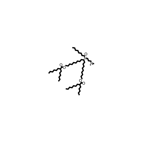 CCCCCCCC(=O)N(CCCN(C)C)C(CCCCCCCCCOC(=O)C(CCCCC)CCCCCCC)CCCCCCCCCOC(=O)C(CCCCCC)CCCCCC